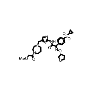 COCC(=O)N1CCCN(Cc2cnc(NC(=O)/C(=N/O[C@@H]3CCOC3)c3ccc(S(=O)(=O)C4CC4)cc3)s2)CC1